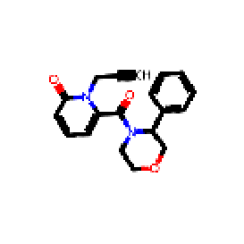 C#CCn1c(C(=O)N2CCOCC2c2ccccc2)cccc1=O